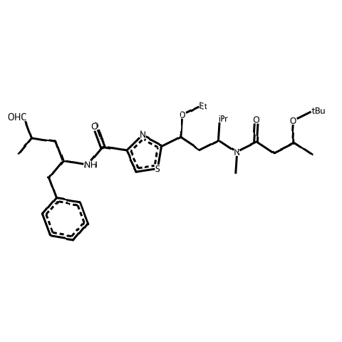 CCOC(CC(C(C)C)N(C)C(=O)CC(C)OC(C)(C)C)c1nc(C(=O)NC(Cc2ccccc2)CC(C)C=O)cs1